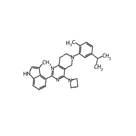 Cc1ccc(C(C)C)cc1N1CCc2nc(-c3cccc4[nH]cc(C)c34)nc(N3CCC3)c2C1